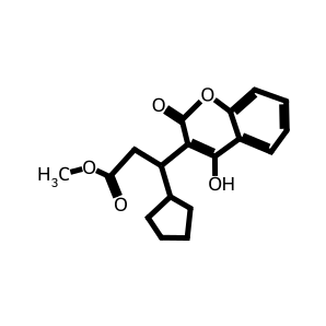 COC(=O)CC(c1c(O)c2ccccc2oc1=O)C1CCCC1